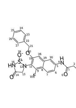 O=C(CBr)Nc1ccc2c(F)c(N3CC(=O)N[S+]3[O-])c(OCc3ccccc3)cc2c1